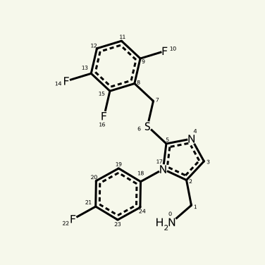 NCc1cnc(SCc2c(F)ccc(F)c2F)n1-c1ccc(F)cc1